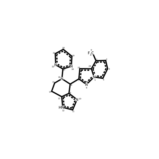 FC(F)(F)c1cccn2nc(C3c4nc[nH]c4CCN3c3ncccn3)cc12